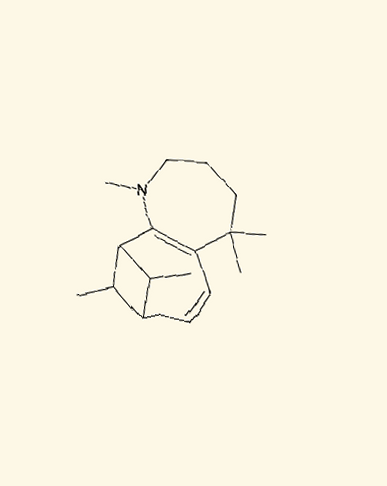 CC1C2C=CC3=C(C1C2C)N(C)CCCC3(C)C